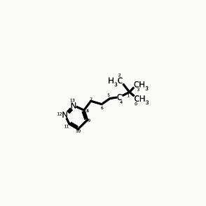 CC(C)(C)CCCCc1cccnn1